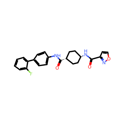 O=C(N[C@H]1CC[C@@H](C(=O)Nc2ccc(-c3ccccc3F)cc2)CC1)c1ccon1